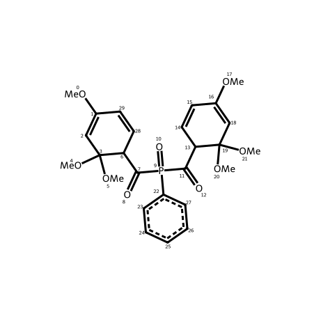 COC1=CC(OC)(OC)C(C(=O)P(=O)(C(=O)C2C=CC(OC)=CC2(OC)OC)c2ccccc2)C=C1